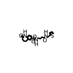 O=C(CCCNS(=O)(=O)c1ccc2c(c1)CCCC(=O)N2)NCc1cccs1